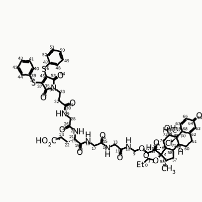 CCC(=O)O[C@]1(C(=O)COCNC(=O)CNC(=O)CNC(=O)[C@H](CCC(=O)O)NC(=O)CNC(=O)CCN2C(=O)C(Sc3ccccc3)=C(Sc3ccccc3)C2=O)[C@@H](C)CC2[C@@H]3CCC4=CC(=O)C=C[C@]4(C)[C@@]3(Cl)[C@@H](O)C[C@@]21C